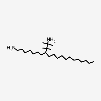 CCCCCCCCCCCCC(CCCCCCCN)C(C)(C)C(C)(C)N